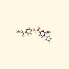 COC(=O)c1ccc(OCC(=O)c2ccc(N3CCCC3)c(C(C)(C)C)c2)cc1